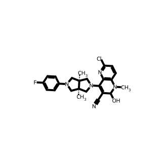 CN1c2ccc(Cl)nc2C(N2C[C@@]3(C)CN(c4ccc(F)cc4)C[C@@]3(C)C2)=C(C#N)C1O